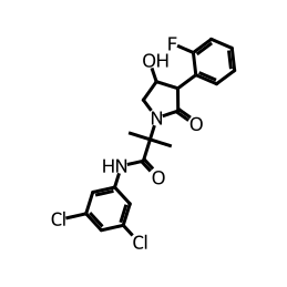 CC(C)(C(=O)Nc1cc(Cl)cc(Cl)c1)N1CC(O)C(c2ccccc2F)C1=O